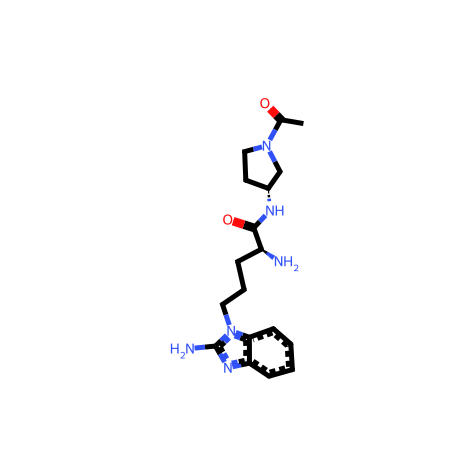 CC(=O)N1CC[C@@H](NC(=O)[C@@H](N)CCCn2c(N)nc3ccccc32)C1